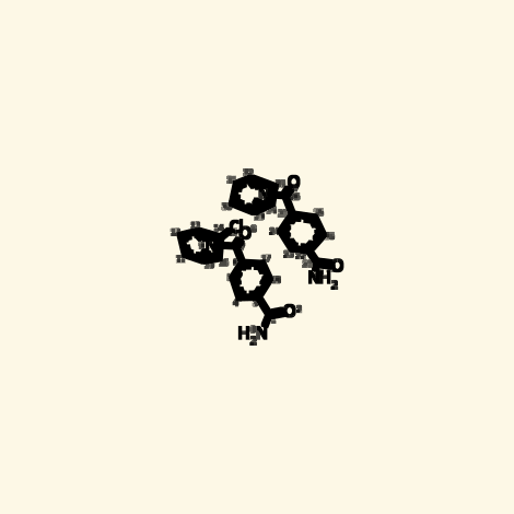 NC(=O)c1ccc(C(=O)n2c3ccc2c(Cl)c3)cc1.NC(=O)c1ccc(C(=O)n2c3ccc2cc3)cc1